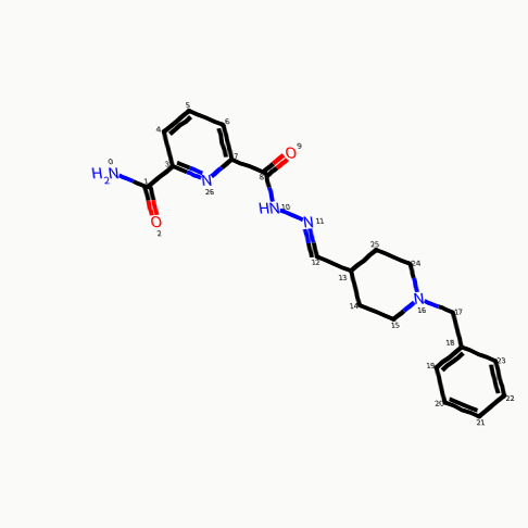 NC(=O)c1cccc(C(=O)N/N=C/C2CCN(Cc3ccccc3)CC2)n1